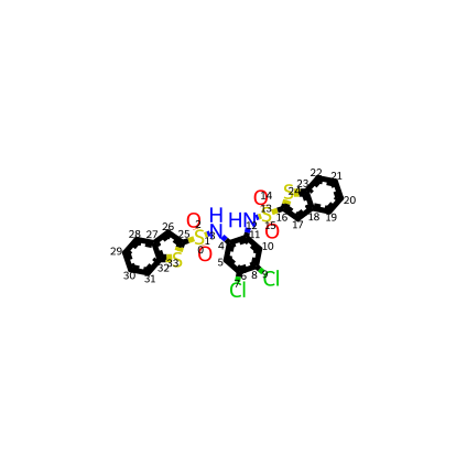 O=S(=O)(Nc1cc(Cl)c(Cl)cc1NS(=O)(=O)c1cc2ccccc2s1)c1cc2ccccc2s1